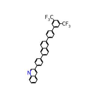 FC(F)(F)c1cc(-c2ccc(-c3ccc4cc(-c5ccc(-c6cnc7ccccc7c6)cc5)ccc4c3)cc2)cc(C(F)(F)F)c1